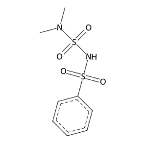 CN(C)S(=O)(=O)NS(=O)(=O)c1ccccc1